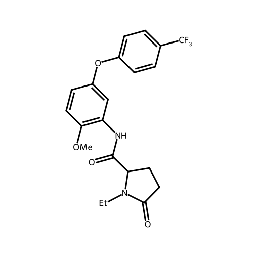 CCN1C(=O)CCC1C(=O)Nc1cc(Oc2ccc(C(F)(F)F)cc2)ccc1OC